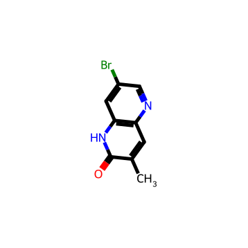 Cc1cc2ncc(Br)cc2[nH]c1=O